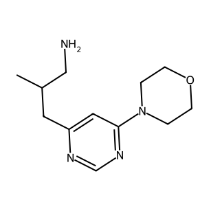 CC(CN)Cc1cc(N2CCOCC2)ncn1